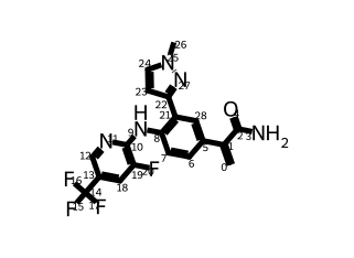 C=C(C(N)=O)c1ccc(Nc2ncc(C(F)(F)F)cc2F)c(-c2ccn(C)n2)c1